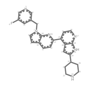 Fc1cncc(Cn2ccc3ccc(-c4ccnc5[nH]c(C6CCNCC6)cc45)nc32)c1